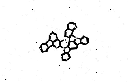 CCc1c(-n2c3ccccc3c3cc4c5ccccc5n5c6c7ccccc7ccc6c(c32)c45)nc2c3c(cccc13)-c1ccccc1-2